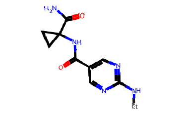 CCNc1ncc(C(=O)NC2(C(N)=O)CC2)cn1